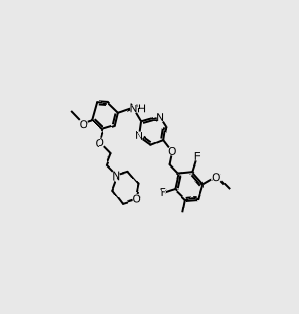 COc1ccc(Nc2ncc(OCc3c(F)c(C)cc(OC)c3F)cn2)cc1OCCN1CCOCC1